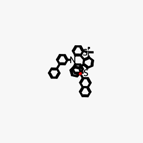 C[Si]1(C)c2cccc(N(c3ccc(-c4ccc5ccccc5c4)cc3)c3cccc(-c4ccccc4)c3)c2-c2c1ccc1sc3ccccc3c21